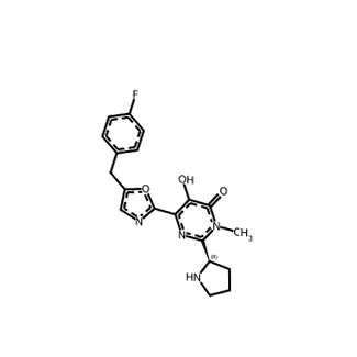 Cn1c([C@H]2CCCN2)nc(-c2ncc(Cc3ccc(F)cc3)o2)c(O)c1=O